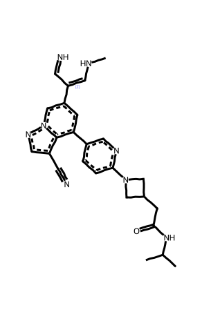 CN/C=C(\C=N)c1cc(-c2ccc(N3CC(CC(=O)NC(C)C)C3)nc2)c2c(C#N)cnn2c1